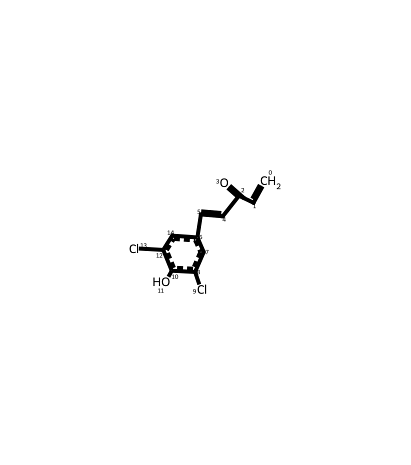 C=CC(=O)C=Cc1cc(Cl)c(O)c(Cl)c1